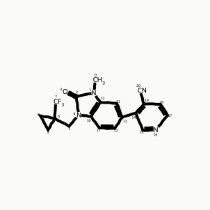 Cn1c(=O)n(CC2(C(F)(F)F)CC2)c2ccc(-c3cnccc3C#N)cc21